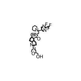 O=C(NCC(c1cnc(C(F)(F)F)nc1)N1CCCCC1)c1c(Cl)ccc2nc(N3CCOC(CO)C3)ccc12